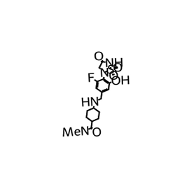 CNC(=O)C1CCC(NCc2cc(O)c(N3CC(=O)NS3(=O)=O)c(F)c2)CC1